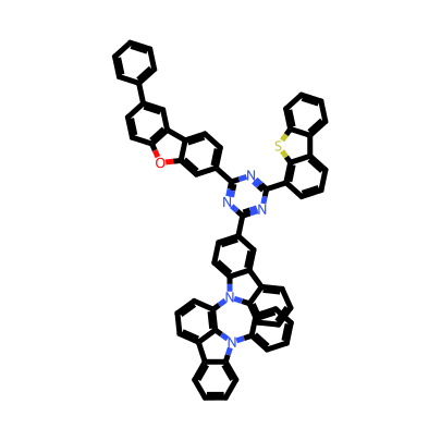 c1ccc(-c2ccc3oc4cc(-c5nc(-c6ccc7c(c6)c6ccccc6n7-c6cccc7c8ccccc8n(-c8ccccc8)c67)nc(-c6cccc7c6sc6ccccc67)n5)ccc4c3c2)cc1